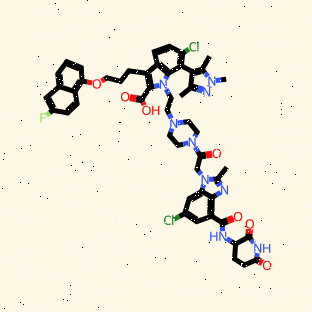 Cc1nn(C)c(C)c1-c1c(Cl)ccc2c(CCCOc3cccc4cc(F)ccc34)c(C(=O)O)n(CCN3CCN(C(=O)Cn4c(C)nc5c(C(=O)NC6CCC(=O)NC6=O)cc(Cl)cc54)CC3)c12